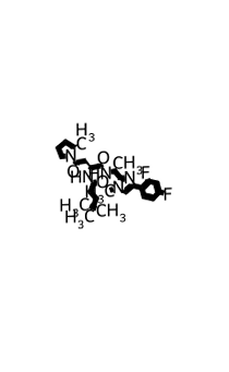 C[C@H](NC(=O)[C@H](CC(=O)N1CCC[C@@H]1C)NC(=O)CCC(C)(C)C)c1nc(-c2ccc(F)cc2F)cn1C